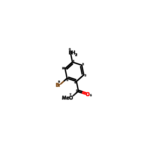 Bc1ccc(C(=O)OC)c(Br)c1